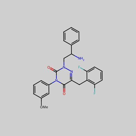 COc1cccc(-n2c(=O)c(Cc3c(F)cccc3F)nn(CC(N)c3ccccc3)c2=O)c1